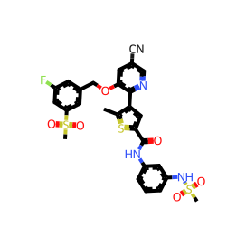 Cc1sc(C(=O)Nc2cccc(NS(C)(=O)=O)c2)cc1-c1ncc(C#N)cc1OCc1cc(F)cc(S(C)(=O)=O)c1